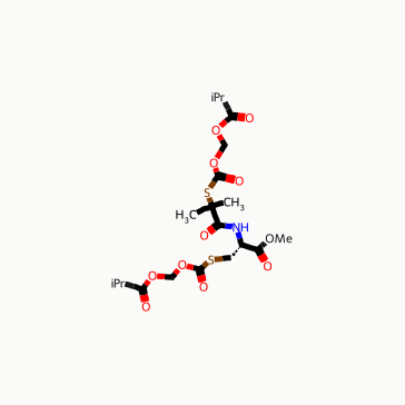 COC(=O)[C@H](CSC(=O)OCOC(=O)C(C)C)NC(=O)C(C)(C)SC(=O)OCOC(=O)C(C)C